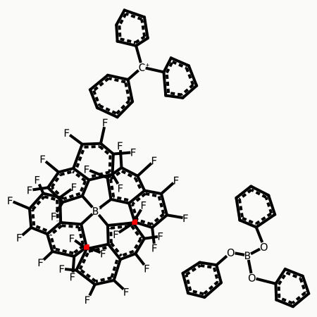 Fc1c(F)c(F)c2c([B-](c3c(F)c(F)c(F)c4c(F)c(F)c(F)c(F)c34)(c3c(F)c(F)c(F)c4c(F)c(F)c(F)c(F)c34)c3c(F)c(F)c(F)c4c(F)c(F)c(F)c(F)c34)c(F)c(F)c(F)c2c1F.c1ccc(OB(Oc2ccccc2)Oc2ccccc2)cc1.c1ccc([C+](c2ccccc2)c2ccccc2)cc1